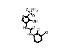 NS(=O)(=O)c1scc(NC(=O)Nc2cccc(Cl)c2Cl)c1O